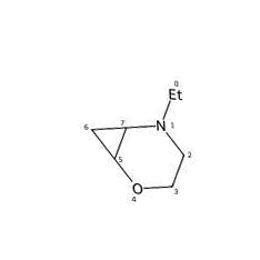 CCN1CCOC2CC21